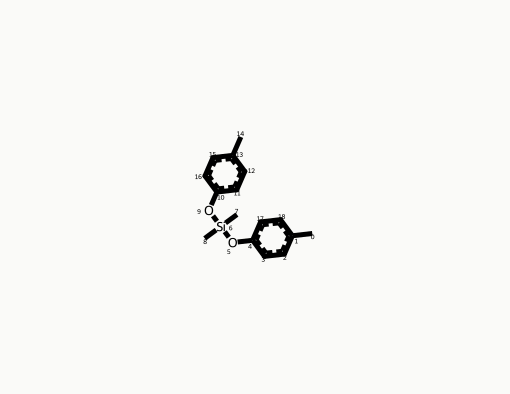 Cc1ccc(O[Si](C)(C)Oc2ccc(C)cc2)cc1